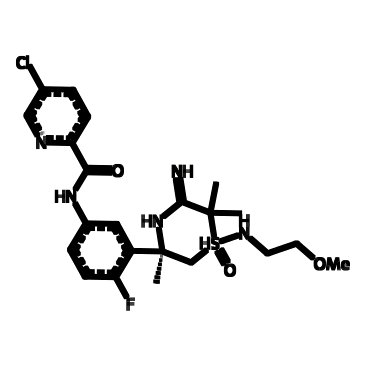 COCCN[SH]1(=O)C[C@@](C)(c2cc(NC(=O)c3ccc(Cl)cn3)ccc2F)NC(=N)C1(C)C